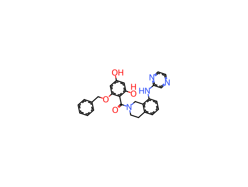 O=C(c1c(O)cc(O)cc1OCc1ccccc1)N1CCc2cccc(Nc3cnccn3)c2C1